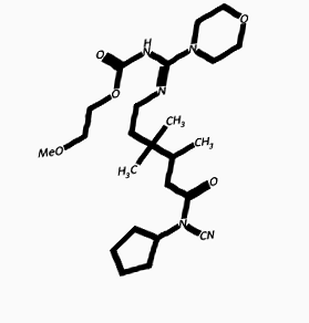 COCCOC(=O)NC(=NCCC(C)(C)C(C)CC(=O)N(C#N)C1CCCC1)N1CCOCC1